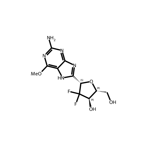 COc1nc(N)nc2nc([C@@H]3O[C@H](CO)[C@@H](O)C3(F)F)[nH]c12